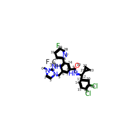 Cn1ccn(Cc2cc(C(=O)NC(c3ccc(Cl)c(Cl)c3)C3CC3)cc(-c3ncc(F)cc3C(F)(F)F)c2)c1=N